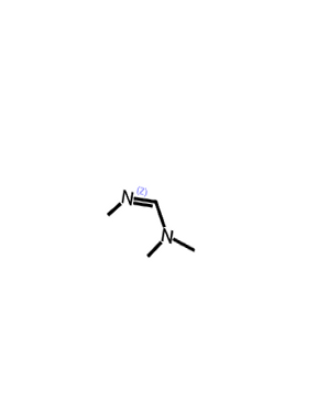 C/N=C\N(C)C